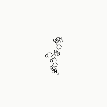 CS(=O)(=O)Nc1cccc(-c2ncc3c(n2)N2CCOCC2C(=O)N3Cc2ccc(S(C)(=O)=O)cc2)c1